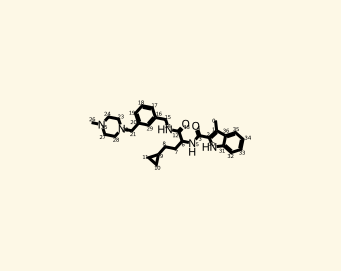 Cc1c(C(=O)NC(CCC2CC2)C(=O)NCc2cccc(CN3CCN(C)CC3)c2)[nH]c2ccccc12